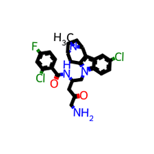 CN1C2CCC1c1c(n(CC(CC(=O)CN)NC(=O)c3ccc(F)cc3Cl)c3ccc(Cl)cc13)C2